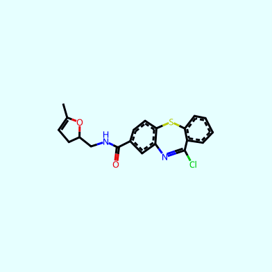 CC1=CCC(CNC(=O)c2ccc3c(c2)N=C(Cl)c2ccccc2S3)O1